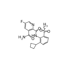 CS(=O)(=O)c1cccc(C2CCC2)c1NC(=O)c1ncc(F)cc1C(N)=O